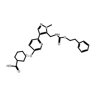 Cn1ncc(-c2ccc(O[C@H]3CCCC(C(=O)O)C3)cn2)c1CNC(=O)OCCc1ccccc1